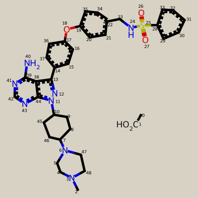 CC(=O)O.CN1CCN(C2CCC(n3nc(-c4ccc(Oc5ccc(CNS(=O)(=O)c6ccccc6)cc5)cc4)c4c(N)ncnc43)CC2)CC1